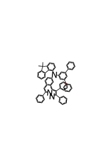 CC1(C)c2ccccc2-c2c(N(c3cc(-c4ccccc4)cc(-c4ccccc4)c3)c3ccc4cc(-c5ccccc5)n5nc(-c6ccccc6)c(-c6ccccc6)c5c4c3)cccc21